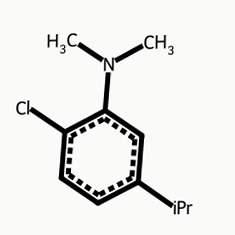 CC(C)c1ccc(Cl)c(N(C)C)c1